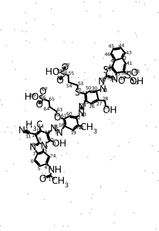 CC(=O)Nc1ccc2nc3c(C#N)c(C)c(N=Nc4cc(C)c(N=Nc5cc(CO)c(N=Nc6nc7c(S(=O)(=O)O)cc8ccccc8c7s6)cc5SCCCS(=O)(=O)O)cc4OCCCS(=O)(=O)O)c(O)n3c2c1